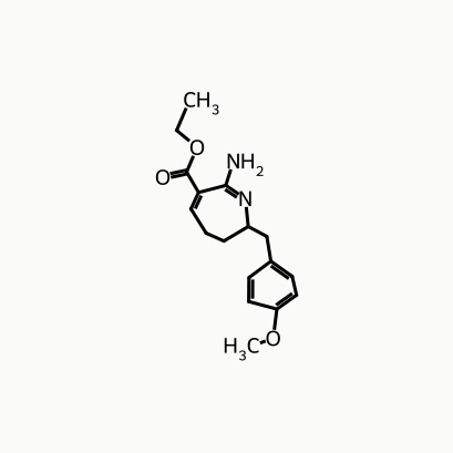 CCOC(=O)C1=CCCC(Cc2ccc(OC)cc2)N=C1N